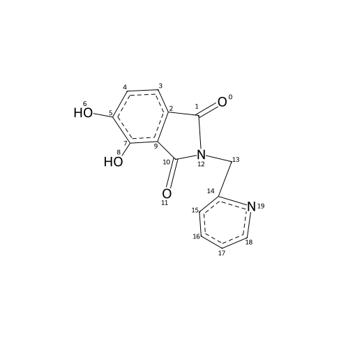 O=C1c2ccc(O)c(O)c2C(=O)N1Cc1ccccn1